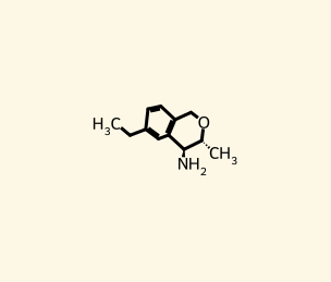 CCc1ccc2c(c1)[C@H](N)[C@@H](C)OC2